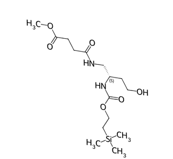 COC(=O)CCC(=O)NC[C@H](CCO)NC(=O)OCC[Si](C)(C)C